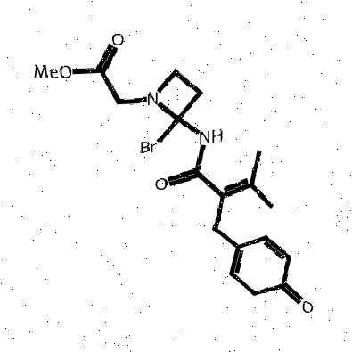 COC(=O)CN1CCC1(Br)NC(=O)C(CC1=CCC(=O)C=C1)=C(C)C